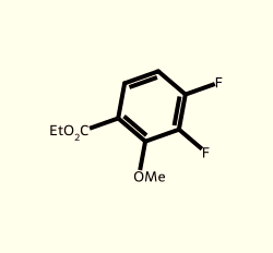 CCOC(=O)c1ccc(F)c(F)c1OC